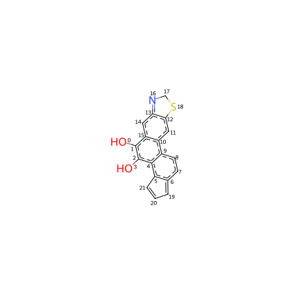 Oc1c(O)c2c3c(ccc2c2cc4c(cc12)=NCS4)=CC=C3